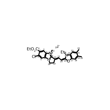 CCOC(=O)c1cc2c(cc1Cl)n1c([n+]2C)C(=CC=C2Oc3cc(C)c(C)cc3N2CC)CC1.[I-]